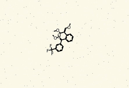 CO/C=C(/C(=O)OC)c1ccccc1/C(=N/OC)c1cccc(C(F)(F)F)c1